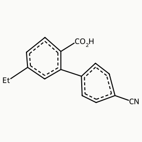 CCc1ccc(C(=O)O)c(-c2ccc(C#N)cc2)c1